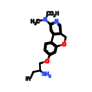 CC(C)CC(N)COc1ccc2c(c1)OCc1cnc(N(C)C(=O)O)cc1-2